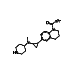 CCCC(=O)N1CCCc2cc(C3CC3N(C)C3CCNCC3)ccc21